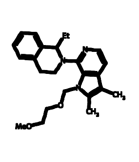 CCC1c2ccccc2CCN1c1nccc2c(C)c(C)n(COCCOC)c12